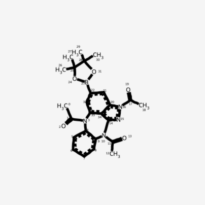 CC(=O)N1c2ccccc2N(C(C)=O)c2nn(C(C)=O)c3cc(B4OC(C)(C)C(C)(C)O4)cc1c23